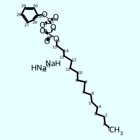 CCCCCCCCCCCCCCCCOS(=O)(=O)OS(=O)(=O)Oc1ccccc1.[NaH].[NaH]